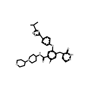 CC(C)c1nnc(-c2ccc(Oc3cc(C(=O)NC4CCN(C5CCOCC5)CC4)c(F)cc3Cc3ccn[nH]c3=O)cc2)s1